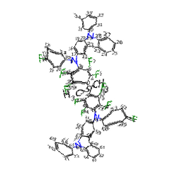 C[Si](C)(c1c(F)c(F)c(N(c2ccc(F)cc2)c2ccc3c(c2)c2ccccc2n3-c2ccccc2)c(F)c1F)c1c(F)c(F)c(N(c2ccc(F)cc2)c2ccc3c(c2)c2ccccc2n3-c2ccccc2)c(F)c1F